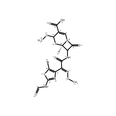 CON=C(C(=O)NC1C(=O)N2C=C(C(=O)O)C(OC)S[C@H]12)c1nc(NC=O)sc1Br